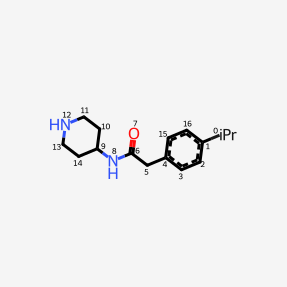 CC(C)c1ccc(CC(=O)NC2CCNCC2)cc1